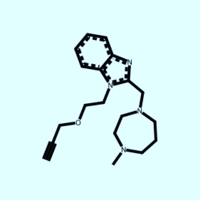 C#CCOCCn1c(CN2CCCN(C)CC2)nc2ccccc21